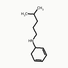 CC(C)CCCNC1C=CC=CC1